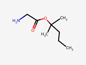 CCCC(C)(C)OC(=O)CN